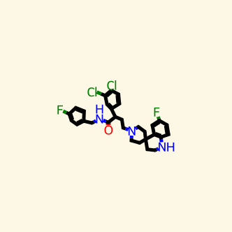 O=C(NCc1ccc(F)cc1)C(CCN1CCC2(CCNc3ccc(F)cc32)CC1)c1ccc(Cl)c(Cl)c1